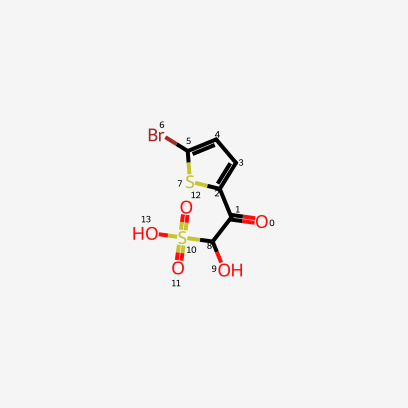 O=C(c1ccc(Br)s1)C(O)S(=O)(=O)O